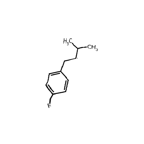 CC(C)[CH]Cc1ccc(F)cc1